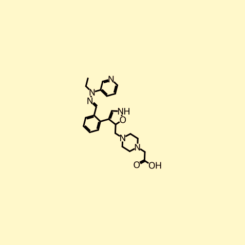 CCN(N=Cc1ccccc1C1=CNOC1CN1CCN(CC(=O)O)CC1)c1cccnc1